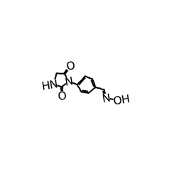 O=C1CNC(=O)N1c1ccc(C=NO)cc1